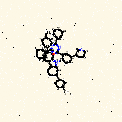 Cc1ccc(-c2ccc3c4ccc(-c5ccc(C)cc5)cc4n(-c4ccc(-c5cccnc5)cc4-c4nc(-c5ccccc5)nc(-c5ccccc5)n4)c3c2)cc1